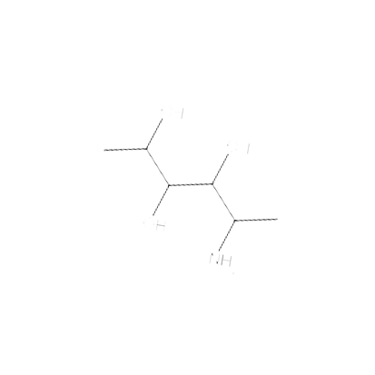 [CH2]C(O)C(O)C(O)C(C)N